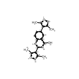 Cc1noc(C)c1-c1ccc2nc(-c3c(C)noc3C)nc(O)c2c1